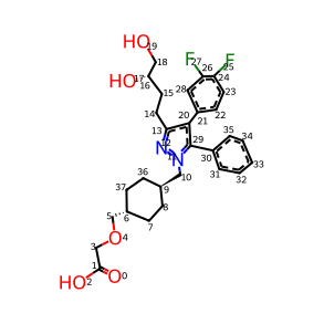 O=C(O)COC[C@H]1CC[C@H](Cn2nc(CC[C@H](O)CO)c(-c3ccc(F)c(F)c3)c2-c2ccccc2)CC1